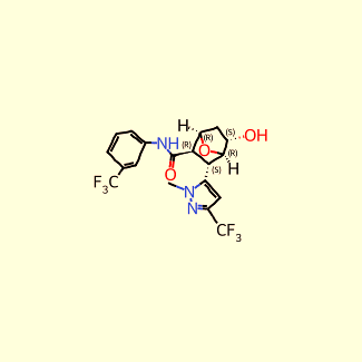 Cn1nc(C(F)(F)F)cc1[C@H]1[C@H]2O[C@H](C[C@@H]2O)[C@@H]1C(=O)Nc1cccc(C(F)(F)F)c1